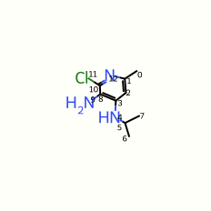 Cc1cc(NC(C)C)c(N)c(Cl)n1